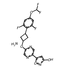 N.Oc1cc(-c2cnc(OC3CC(c4c(F)cc(OC(F)F)cc4F)C3)cn2)on1